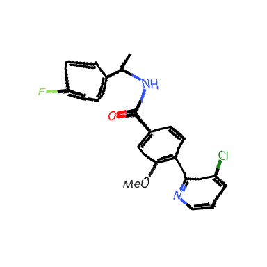 COc1cc(C(=O)NC(C)c2ccc(F)cc2)ccc1-c1ncccc1Cl